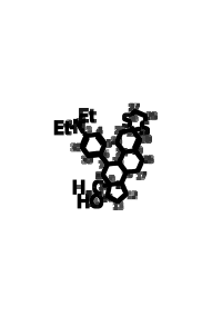 CCN(CC)c1ccc(C2CC3(C)C(CC[C@@H]3O)C3CCC4=CC5(CCC4C23)SCCS5)cc1